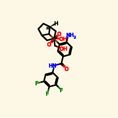 Nc1ccc(C(=O)Nc2cc(F)c(F)c(F)c2)cc1S(=O)(=O)C1C2CC[C@H]1C[C@](O)(CO)C2